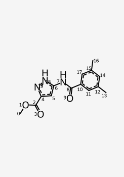 COC(=O)c1cc(NC(=O)c2cc(C)cc(C)c2)[nH]n1